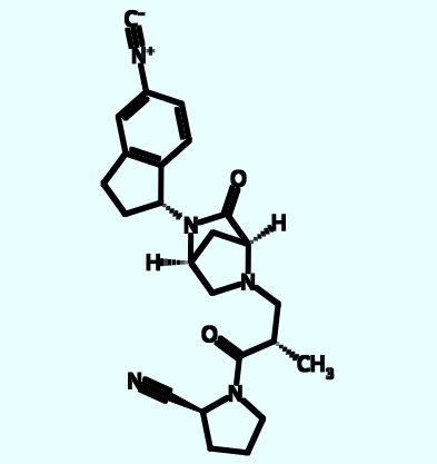 [C-]#[N+]c1ccc2c(c1)CC[C@H]2N1C(=O)[C@@H]2C[C@H]1CN2C[C@H](C)C(=O)N1CCC[C@H]1C#N